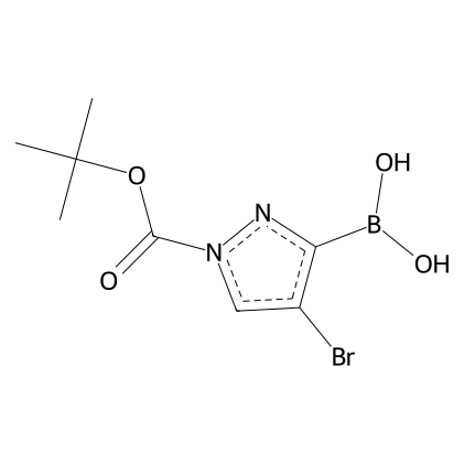 CC(C)(C)OC(=O)n1cc(Br)c(B(O)O)n1